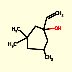 C=CC1(O)CC(C)CC(C)(C)C1